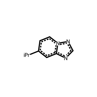 CC(C)c1ccn2ncnc2c1